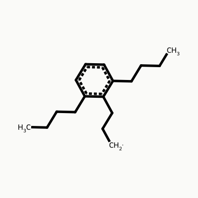 [CH2]CCc1c(CCCC)cccc1CCCC